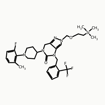 Cc1cccc(F)c1N1CCC(N2Cc3nn(COCC[Si](C)(C)C)cc3N(Cc3ccccc3C(F)(F)F)C2=O)CC1